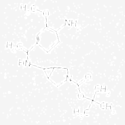 C=C(NC1C2CN(C(=O)OC(C)(C)C)CC21)c1ccc(N)c(OC)c1